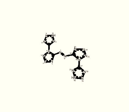 N(=Nc1nnnn1-c1nn[nH]n1)c1nnnn1-c1nn[nH]n1